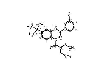 CCN(CC)C(=O)Oc1ccc(C(C)(C)C)cc1OC(=O)c1cccc(Cl)c1